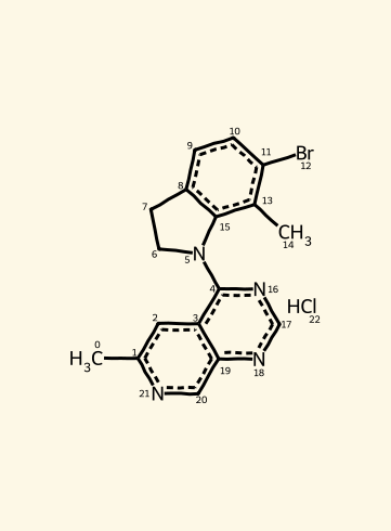 Cc1cc2c(N3CCc4ccc(Br)c(C)c43)ncnc2cn1.Cl